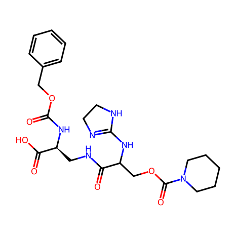 O=C(N[C@@H](CNC(=O)C(COC(=O)N1CCCCC1)NC1=NCCN1)C(=O)O)OCc1ccccc1